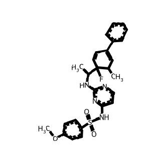 COc1ccc(S(=O)(=O)Nc2ccnc(NC(C)C3(F)C=CC(c4ccccc4)=CC3C)n2)cc1